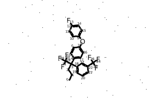 CCCC(c1ccc(Oc2ccc(F)cc2)cc1)(c1cccc(C(F)(F)F)c1)C(F)(F)F